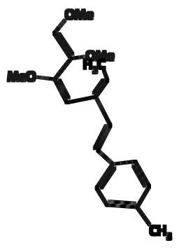 C/C=C(/C=C/c1ccc(C)cc1)\C=C(OC)/C(=C/OC)OC